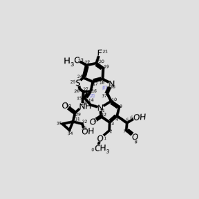 COCc1c(C(O)C=O)cc2n(c1=O)C/C=C1/c3c(cc(F)c(C)c3SCC1NC(=O)C1(CO)CC1)/N=C/2